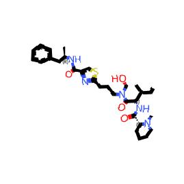 CCC(C)[C@H](NC(=O)[C@H]1CCCCN1C)C(=O)N(CO)CCCc1nc(C(=O)N[C@H](C)Cc2ccccc2)cs1